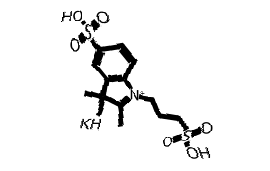 CC1=[N+](CCCS(=O)(=O)O)c2ccc(S(=O)(=O)O)cc2C1(C)C.[KH]